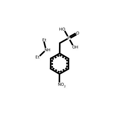 CCNCC.O=[N+]([O-])c1ccc(CP(=O)(O)O)cc1